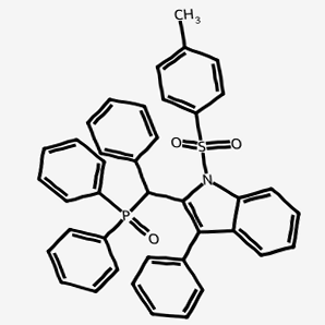 Cc1ccc(S(=O)(=O)n2c(C(c3ccccc3)P(=O)(c3ccccc3)c3ccccc3)c(-c3ccccc3)c3ccccc32)cc1